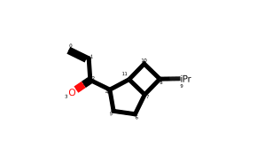 C=CC(=O)C1CCC2C(C(C)C)CC12